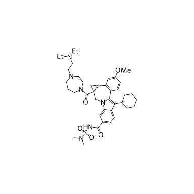 CCN(CC)CCN1CCCN(C(=O)C23CC2c2cc(OC)ccc2-c2c(C4CCCCC4)c4ccc(C(=O)NS(=O)(=O)N(C)C)cc4n2C3)CC1